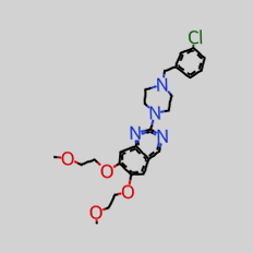 COCCOc1cc2cnc(N3CCN(Cc4cccc(Cl)c4)CC3)nc2cc1OCCOC